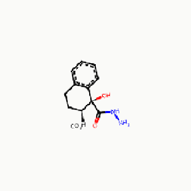 NNC(=O)[C@@]1(O)c2ccccc2CC[C@@H]1C(=O)O